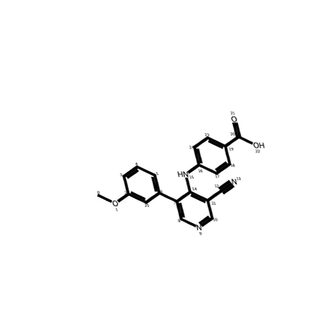 COc1cccc(-c2cncc(C#N)c2Nc2ccc(C(=O)O)cc2)c1